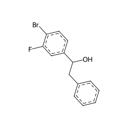 OC(Cc1ccccc1)c1ccc(Br)c(F)c1